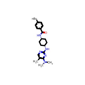 CCCCc1ccc(C(=O)N[C@H]2CC[C@@H](Nc3ncc(C)c(N(C)C)n3)CC2)cc1